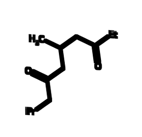 CCC(=O)CC(C)CC(=O)CC(C)C